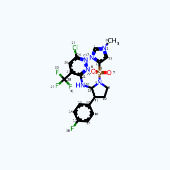 Cn1cnc(S(=O)(=O)N2CCC(c3ccc(F)cc3)C2Nc2nnc(Cl)cc2C(F)(F)F)c1